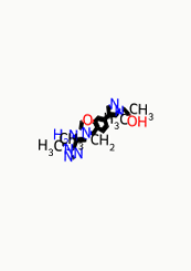 C=C1c2ccc(-c3cnn(CC(C)(C)O)c3)cc2OCCN1/C=C(\N)c1ncnn1C(C)C